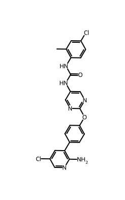 Cc1cc(Cl)ccc1NC(=O)Nc1cnc(Oc2ccc(-c3cc(Cl)cnc3N)cc2)nc1